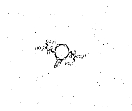 O=C(O)CCC(NC(=O)CN1CCOCCOCCN(CC(=O)NC(CCC(=O)O)C(=O)O)CCOCCOCC1)C(=O)O.[LiH].[LiH].[LiH].[LiH]